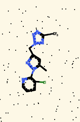 Cc1cc(Cn2nnc(C(F)(F)F)n2)nn1-c1ncccc1Cl